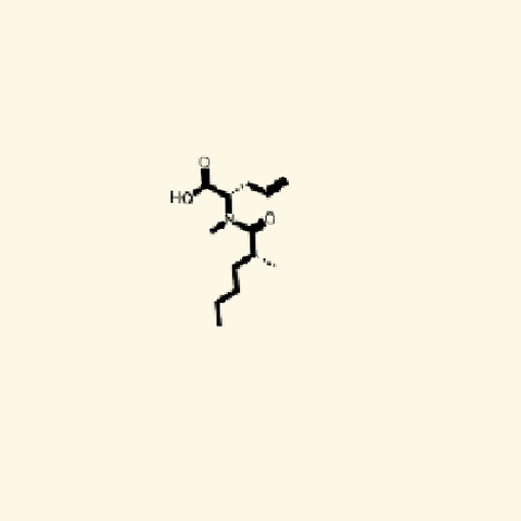 C=CC[C@@H](C(=O)O)N(C)C(=O)[C@H](C)CCCC